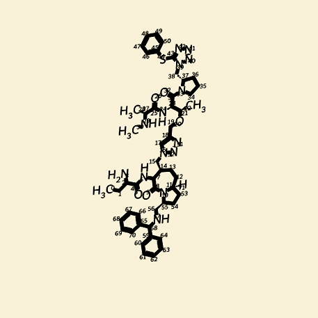 CCC(N)C(=O)NC1C(=O)N2[C@@H](CC[C@@H]1Cn1cc(CO[C@H](C)[C@H](NC(=O)[C@H](C)NC)C(=O)N3CCC[C@H]3Cn3nnnc3Sc3ccccc3)nn1)CC[C@H]2CNC(c1ccccc1)c1ccccc1